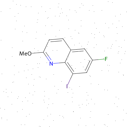 COc1ccc2cc(F)cc(I)c2n1